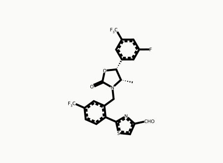 C[C@H]1[C@@H](c2cc(F)cc(C(F)(F)F)c2)OC(=O)N1Cc1cc(C(F)(F)F)ccc1-c1nc(C=O)cs1